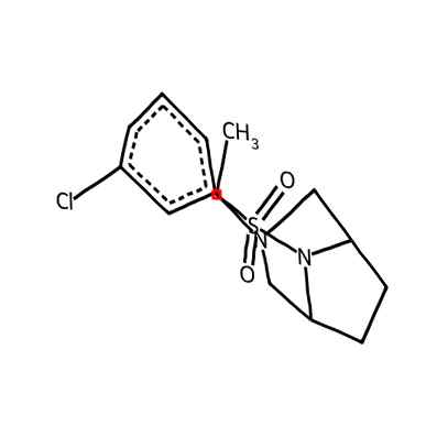 CCN1CC2CCC(C1)N2S(=O)(=O)c1cccc(Cl)c1